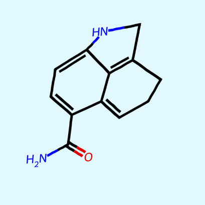 NC(=O)c1ccc2c3c1=CCCC=3CN2